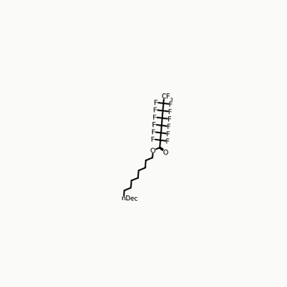 CCCCCCCCCCCCCCCCCCOC(=O)C(F)(F)C(F)(F)C(F)(F)C(F)(F)C(F)(F)C(F)(F)C(F)(F)F